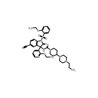 CCCN1CCN(C2CCN(C(=O)NC3(c4cccnc4OCC)C(=O)N(S(=O)(=O)c4ccccc4OCC)c4ccc(C#N)cc43)CC2)CC1